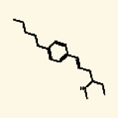 CCCCCc1ccc(/C=C/CC(CC)NC)cc1